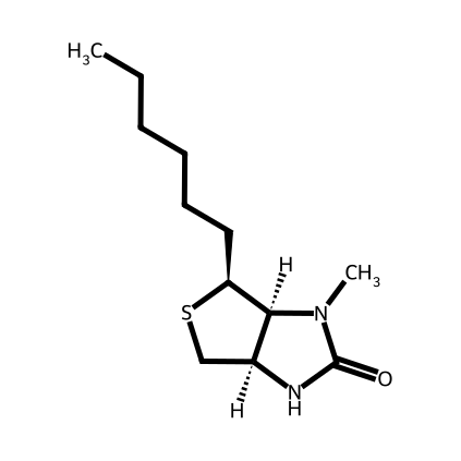 CCCCCC[C@@H]1SC[C@@H]2NC(=O)N(C)[C@@H]21